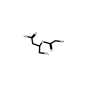 CCC(CC(=O)O)OC(=O)CO